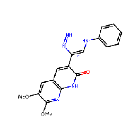 COc1cc2cc(/C(=C/Nc3ccccc3)N=N)c(=O)[nH]c2nc1OC